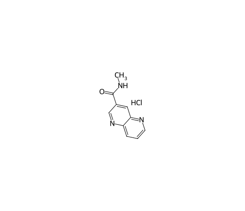 CNC(=O)c1cnc2cccnc2c1.Cl